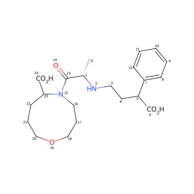 C[C@H](NCCC(C(=O)O)c1ccccc1)C(=O)N1CCCOCCCC1C(=O)O